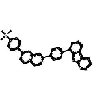 C[Si](C)(C)c1ccc(-c2ccc3ccc(-c4ccc(-c5cccc6c5sc5ncccc56)cc4)cc3c2)cc1